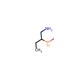 CCC(CN)PI